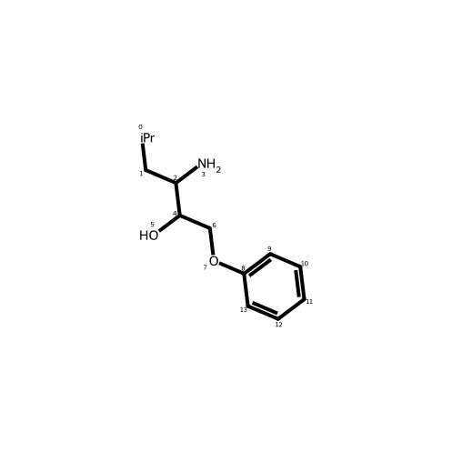 CC(C)CC(N)C(O)COc1ccccc1